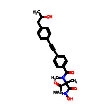 CNC(=O)C(C)(C(=O)NO)N(C)C(=O)c1ccc(C#Cc2ccc(CC(C)O)cc2)cc1